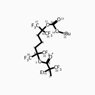 CCC(C)(C(=O)OC(CCCC(OC(=O)OC(C)(C)C)(C(F)(F)F)C(F)(F)F)(C(F)(F)F)C(F)(F)F)C(F)(F)F